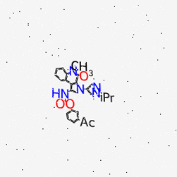 CC(=O)c1cccc(OC(=O)Nc2cn(-c3cnn(C(C)C)c3)c3c(=O)n(C)c4ccccc4c23)c1